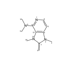 C=C1N(C)c2ccnc(N(C)C)c2N1C